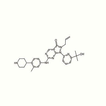 C=CCn1c(=O)c2cnc(Nc3ccc(C4CCNCC4)c(C)c3)nc2n1-c1cccc(C(C)(C)O)n1